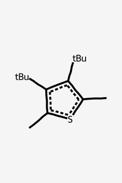 Cc1sc(C)c(C(C)(C)C)c1C(C)(C)C